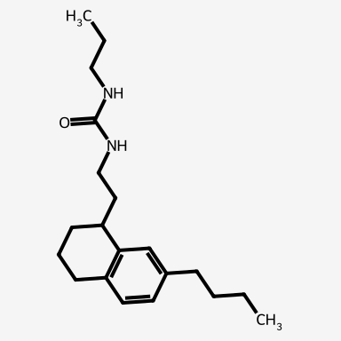 CCCCc1ccc2c(c1)C(CCNC(=O)NCCC)CCC2